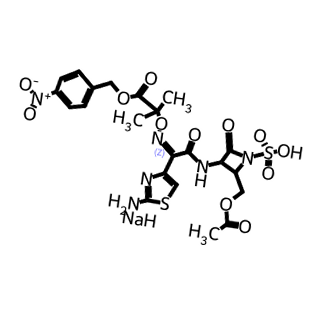 CC(=O)OCC1C(NC(=O)/C(=N\OC(C)(C)C(=O)OCc2ccc([N+](=O)[O-])cc2)c2csc(N)n2)C(=O)N1S(=O)(=O)O.[NaH]